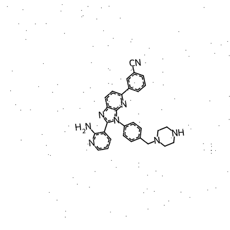 N#Cc1cccc(-c2ccc3nc(-c4cccnc4N)n(-c4ccc(CN5CCNCC5)cc4)c3n2)c1